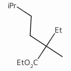 CCOC(=O)C(C)(CC)CCC(C)C